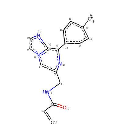 C=CC(=O)NCc1cn2ccnc2c(-c2ccc(C(F)(F)F)cc2)n1